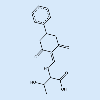 CC(O)C(NC=C1C(=O)CC(c2ccccc2)CC1=O)C(=O)O